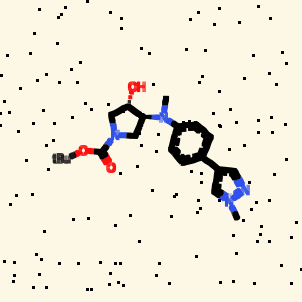 CN(c1ccc(-c2cnn(C)c2)cc1)[C@H]1CN(C(=O)OC(C)(C)C)C[C@@H]1O